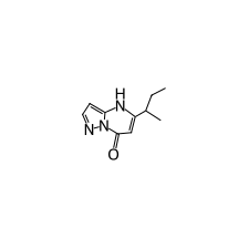 CCC(C)c1cc(=O)n2nccc2[nH]1